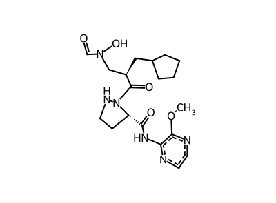 COc1nccnc1NC(=O)[C@@H]1CCNN1C(=O)[C@H](CC1CCCC1)CN(O)C=O